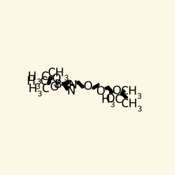 CCC(C)(C)OC(=O)COCCOCCn1cc(B2OC(C)(C)C(C)(C)O2)cn1